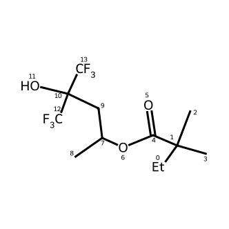 CCC(C)(C)C(=O)OC(C)CC(O)(C(F)(F)F)C(F)(F)F